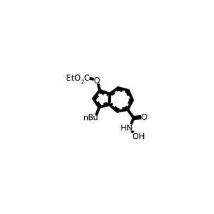 CCCCc1cc(OC(=O)OCC)c2cccc(C(=O)NO)cc1-2